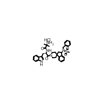 CC(C)(N)C(=O)N[C@H](Cc1c[nH]c2ccccc12)C(=O)N1CCC2(CC1)CC(N(Cc1ccccc1)S(C)(=O)=O)c1ccccc12.Cl